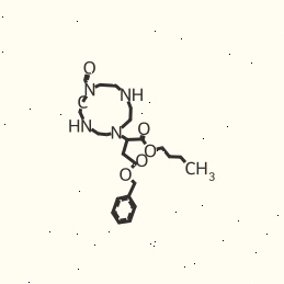 CCCCOC(=O)C(CC(=O)OCc1ccccc1)N1CCNCCN(C=O)CCNCC1